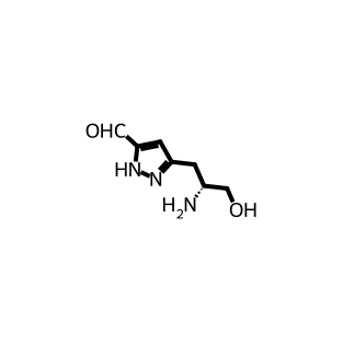 N[C@@H](CO)Cc1cc(C=O)[nH]n1